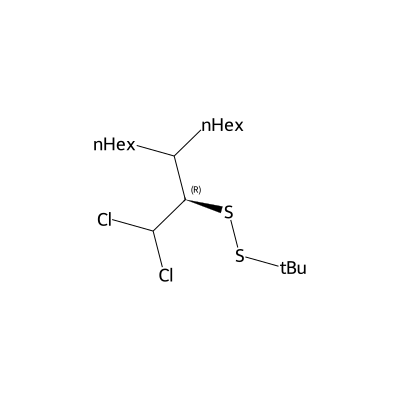 CCCCCCC(CCCCCC)[C@@H](SSC(C)(C)C)C(Cl)Cl